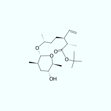 C=C[C@H](CC[C@@H](C)O[C@@H]1O[C@@H](C)[C@H](O)C[C@H]1C)[C@H](C)C(=O)OC(C)(C)C